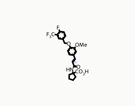 COc1cc(/C=C/C(=O)NC2(C(=O)O)CCCC2)ccc1OCc1ccc(F)c(C(F)(F)F)c1